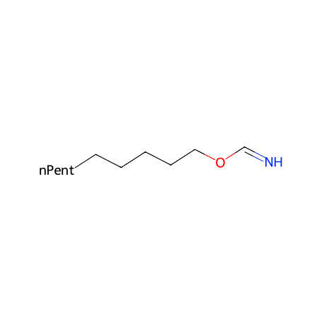 CCCCCCCCCCOC=N